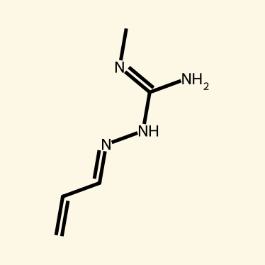 C=CC=NNC(N)=NC